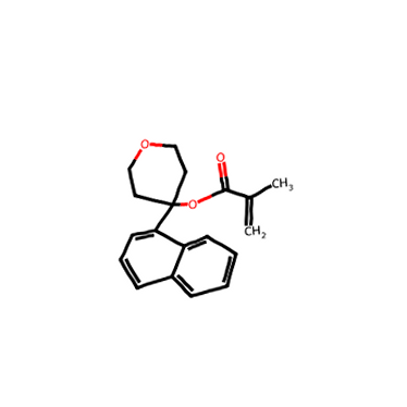 C=C(C)C(=O)OC1(c2cccc3ccccc23)CCOCC1